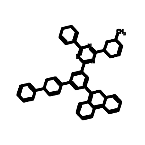 CC1C=CCC(c2nc(C3=CCCC=C3)nc(-c3cc(C4=CCC(c5ccccc5)C=C4)cc(C4=c5ccccc5=C5C=CC=CC5C4)c3)n2)C1